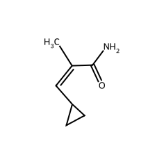 CC(=CC1CC1)C(N)=O